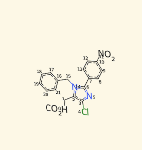 O=C(O)Cc1c(Cl)nc(-c2ccc([N+](=O)[O-])cc2)n1Cc1ccccc1